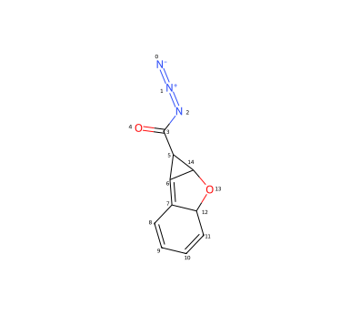 [N-]=[N+]=NC(=O)C1C2=C3C=CC=CC3OC21